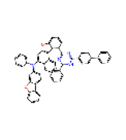 c1ccc(-c2ccc(C3=NC(c4cccc5oc6cc(N(c7ccccc7)c7ccc8c(c7)oc7ccccc78)c7ccccc7c6c45)=NC(c4ccccc4)N3)cc2)cc1